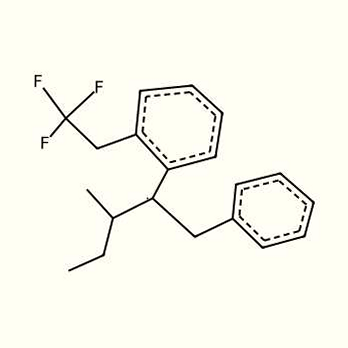 CCC(C)[C](Cc1ccccc1)c1ccccc1CC(F)(F)F